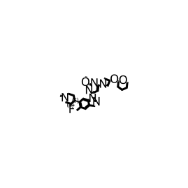 COc1nc(N2CC(OC3CCCCO3)C2)cc(-n2ncc3cc(C)c([C@@H]4CCN(C)C[C@@H]4F)cc32)n1